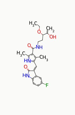 C=C(O)C(CCNC(=O)c1c(C)[nH]c(/C=C2\C(=O)Nc3ccc(F)cc32)c1C)OCC